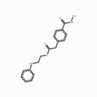 O=C(Cc1ccc(C(=O)NO)cc1)OCCNc1ccccc1